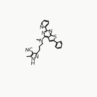 Cc1[nH]nc(CCCN(C)c2nc(-c3ccccn3)nc3sc(-c4ccccc4)cc23)c1C#N